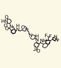 CC(=O)N1CCC(NC2CCN(CCN3CCOC(CNc4cccc5c4CN(C4CCC(=O)NC4=O)C5=O)C3)CC2)=C(C(=N)C2CCCc3cc(-c4cnn(C)c4)c(C(F)F)cc32)C1